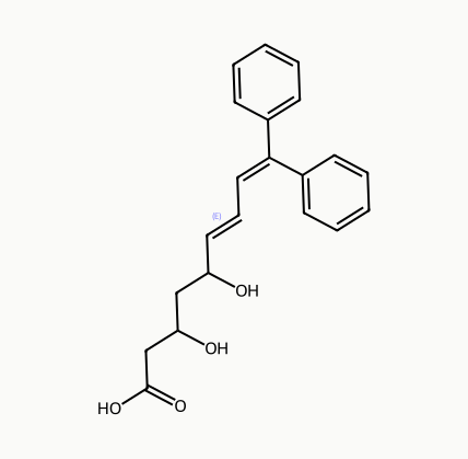 O=C(O)CC(O)CC(O)/C=C/C=C(c1ccccc1)c1ccccc1